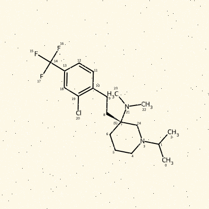 CC(C)N1CCC[C@](CCc2ccc(C(F)(F)F)cc2Cl)(N(C)C)C1